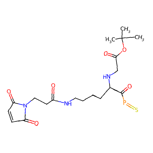 CC(C)(C)OC(=O)CNC(CCCCNC(=O)CCN1C(=O)C=CC1=O)C(=O)P=S